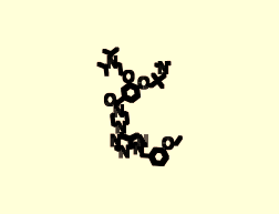 CCOc1cccc(Cn2ncc3c(N4CCN(C(=O)c5ccc(OCC(C)(C)CN(C)C)c(OCCN(C(C)C)C(C)C)c5)CC4)ncnc32)c1